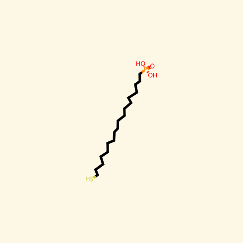 O=P(O)(O)CCCCCCCCCCCCCCCCCCS